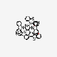 c1ccc2c(c1)Sc1ccccc1N2c1nc(-n2c3ccccc3c3cnccc32)c(-n2c3ccccc3c3cnccc32)c(-c2ccc3sc4ccccc4c3c2)c1-n1c2ccccc2c2cnccc21